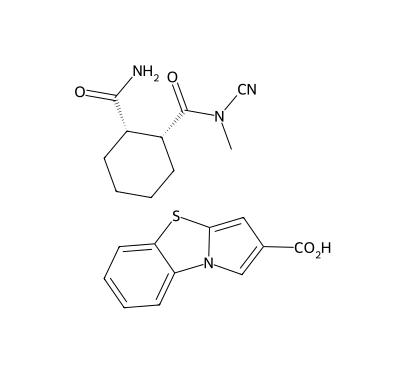 CN(C#N)C(=O)[C@@H]1CCCC[C@@H]1C(N)=O.O=C(O)c1cc2sc3ccccc3n2c1